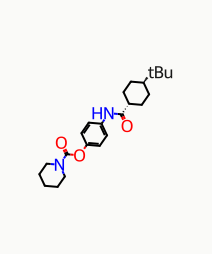 CC(C)(C)[C@H]1CC[C@H](C(=O)Nc2ccc(OC(=O)N3CCCCC3)cc2)CC1